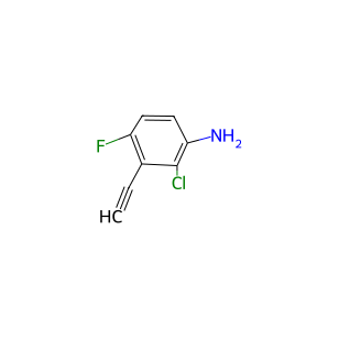 C#Cc1c(F)ccc(N)c1Cl